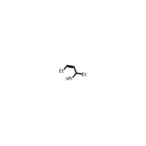 CC/C=C\C(CC)CCC